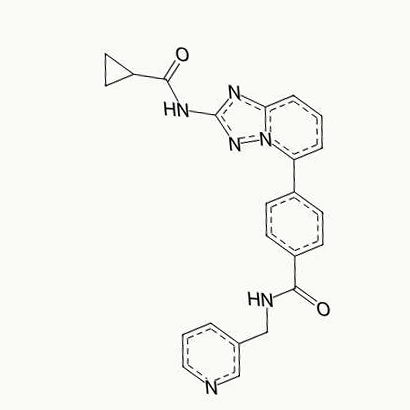 O=C(NCc1cccnc1)c1ccc(-c2cccc3nc(NC(=O)C4CC4)nn23)cc1